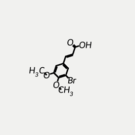 COc1cc(C=CC(=O)O)cc(Br)c1OC